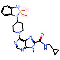 Cn1c(C(=O)NCC2CC2)nc2c(N3CCC(N4c5ccccc5NS4(O)O)CC3)ncnc21